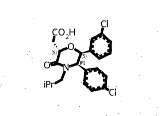 CC(C)CN1C(=O)[C@H](CC(=O)O)O[C@@H](c2cccc(Cl)c2)[C@H]1c1ccc(Cl)cc1